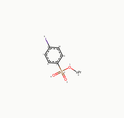 CCCOS(=O)(=O)c1ccc(I)cc1